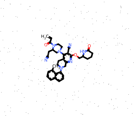 C=CC(=O)N1CCN(c2c(C#N)c(OCC3CCCC(=O)N3)nc3c2CCN(c2cccc4cccc(C)c24)C3)CC1CC#N